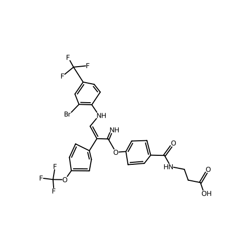 N=C(Oc1ccc(C(=O)NCCC(=O)O)cc1)/C(=C\Nc1ccc(C(F)(F)F)cc1Br)c1ccc(OC(F)(F)F)cc1